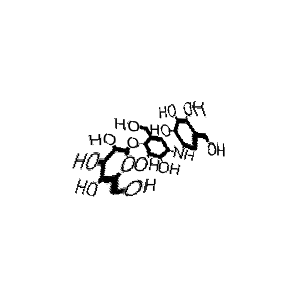 OCC1=C[C@H](N[C@H]2C=C(CO)[C@@H](OC3OC(CO)C(O)C(O)C3O)[C@H](O)[C@H]2O)[C@H](O)[C@@H](O)[C@@H]1O